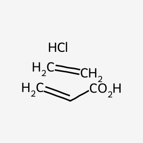 C=C.C=CC(=O)O.Cl